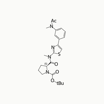 CC(=O)N(C)c1cccc(-c2csc(N(C)C(=O)[C@@H]3CCCN3C(=O)OC(C)(C)C)n2)c1